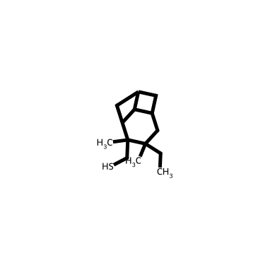 CCC1(C)CC2CC3CC(C32)C1(C)CS